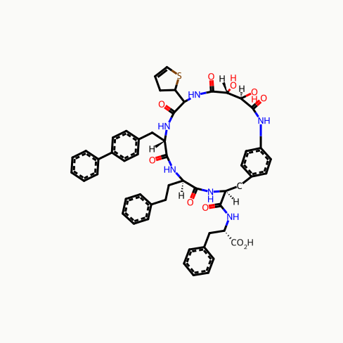 O=C1N[C@@H](Cc2ccc(-c3ccccc3)cc2)C(=O)N[C@H](CCc2ccccc2)C(=O)N[C@H](C(=O)N[C@@H](Cc2ccccc2)C(=O)O)Cc2ccc(cc2)NC(=O)[C@H](O)[C@@H](O)C(=O)NC1C1CC=CS1